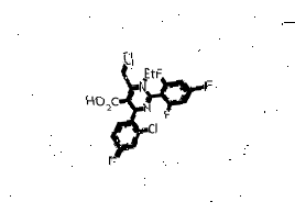 CCN1C(c2c(F)cc(F)cc2F)=NC(c2ccc(F)cc2Cl)C(C(=O)O)=C1CCl